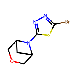 Brc1nnc(N2C3COCC2C3)s1